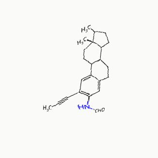 CC#Cc1cc2c(cc1NC=O)CCC1C2CC[C@]2(C)C(C)CCC12